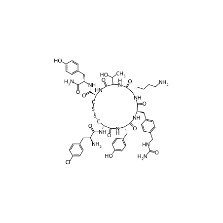 CC(O)C1NC(=O)[C@H](CCCCN)NC(=O)[C@@H](Cc2ccc(CNC(N)=O)cc2)NC(=O)[C@H](Cc2ccc(O)cc2)NC(=O)[C@H](NC(=O)[C@@H](N)Cc2ccc(Cl)cc2)CSSC[C@@H](C(=O)N[C@H](Cc2ccc(O)cc2)C(N)=O)NC1=O